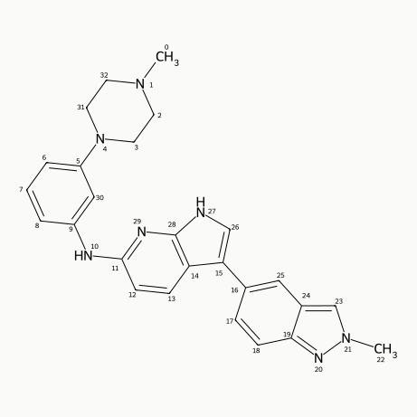 CN1CCN(c2cccc(Nc3ccc4c(-c5ccc6nn(C)cc6c5)c[nH]c4n3)c2)CC1